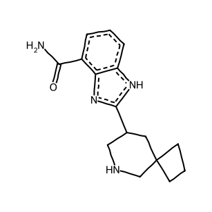 NC(=O)c1cccc2[nH]c(C3CNCC4(CCC4)C3)nc12